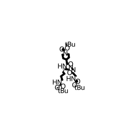 CC(C)(C)OC(=O)NCCCC[C@H](NC(=O)C1CCN(C(=O)OC(C)(C)C)CC1)c1nnc(CNC(=O)OC(C)(C)C)o1